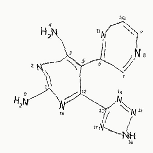 Nc1nc(N)c(-c2cnccn2)c(-c2nn[nH]n2)n1